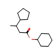 O=C(CC(C(=O)O)C1CCCC1)OC1CCCCC1